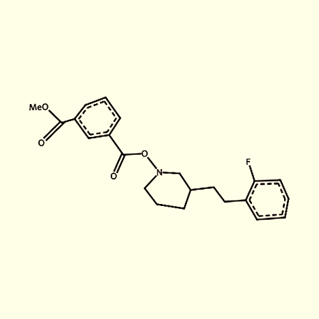 COC(=O)c1cccc(C(=O)ON2CCCC(CCc3ccccc3F)C2)c1